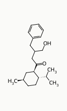 CC(C)[C@@H]1CC[C@@H](C)C[C@H]1C(=O)CC(CO)Cc1ccccc1